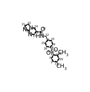 Cc1ccc(S(=O)(=O)c2ccc(CNC(=O)c3cnc4nccn4c3)cc2)c(C)c1